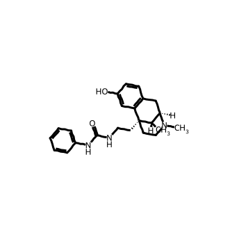 C[C@H]1[C@H]2Cc3ccc(O)cc3[C@]1(CCNC(=O)Nc1ccccc1)CCN2C